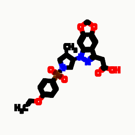 CCOc1ccc(S(=O)(=O)N2C[C@@H](C)[C@@H](n3nc(CC(=O)O)c4cc5c(cc43)OCO5)C2)cc1